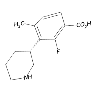 Cc1ccc(C(=O)O)c(F)c1[C@H]1CCCNC1